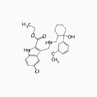 CCOC(=O)c1[nH]c2ccc(Cl)cc2c1CNCC1CCCCC1(O)c1cccc(OC)c1